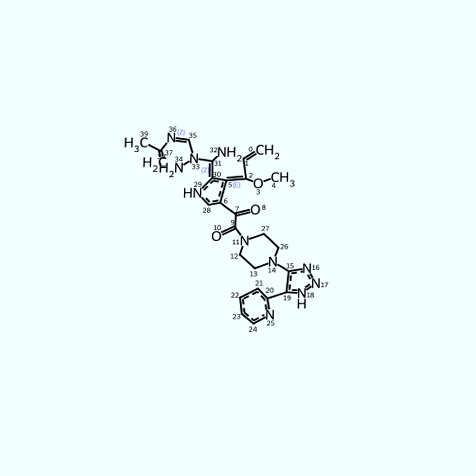 C=C/C(OC)=c1/c(C(=O)C(=O)N2CCN(c3nn[nH]c3-c3ccccn3)CC2)c[nH]/c1=C(/N)N(N)/C=N\C(=C)C